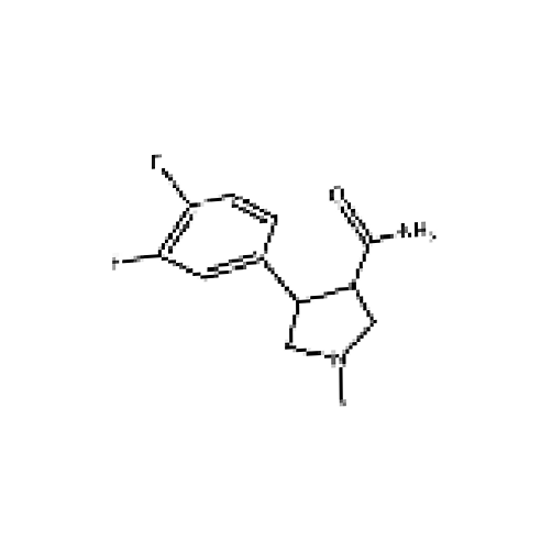 CN1CC(C(N)=O)C(c2ccc(F)c(F)c2)C1